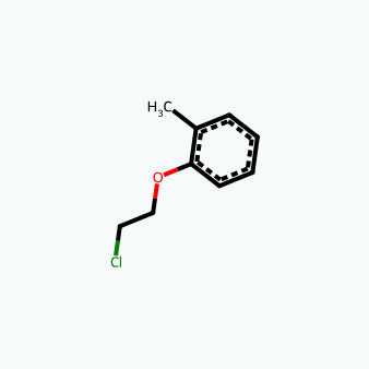 Cc1ccccc1OCCCl